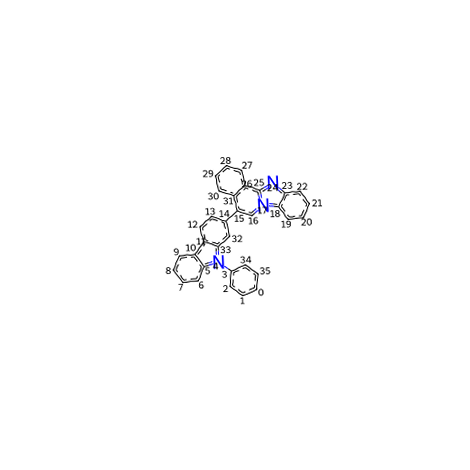 c1ccc(-n2c3ccccc3c3ccc(-c4cn5c6ccccc6nc5c5ccccc45)cc32)cc1